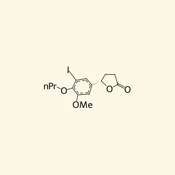 CCCOc1c(I)cc([C@@H]2CCC(=O)O2)cc1OC